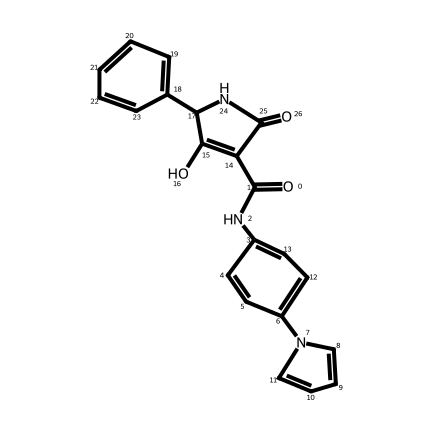 O=C(Nc1ccc(-n2cccc2)cc1)C1=C(O)C(c2ccccc2)NC1=O